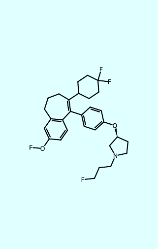 FCCCN1CC[C@H](Oc2ccc(C3=C(C4CCC(F)(F)CC4)CCCc4cc(OF)ccc43)cc2)C1